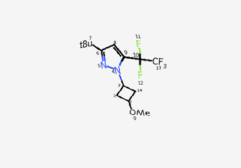 COC1CC(n2nc(C(C)(C)C)cc2C(F)(F)C(F)(F)F)C1